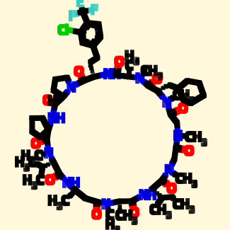 CCC(C)[C@@H]1NC(=O)[C@H](C)N(C)C(=O)C[C@@H](C)NC(=O)[C@H](C(C)C)N(C)C(=O)C2(CCCC2)NC(=O)[C@@H]2CCCN2C(=O)[C@H](CCc2ccc(C(F)(F)F)c(Cl)c2)NC(=O)[C@@H](C)N(C)C(=O)[C@H](CC2CCCCC2)N(C)C(=O)CN(C)C(=O)CN(C)C1=O